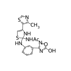 CC(=O)NC1(Nc2cccc(-c3noc(O)n3)c2)NC(c2scnc2C)=CS1